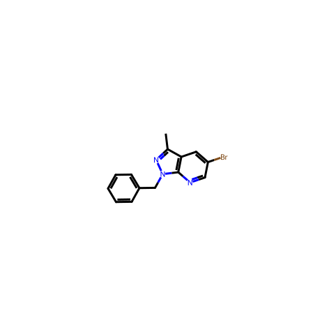 Cc1nn(Cc2ccccc2)c2ncc(Br)cc12